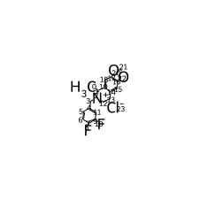 CC1=[N+](Cc2ccc(F)c(F)c2)CCc2cc3c(cc21)OCO3.[Cl-]